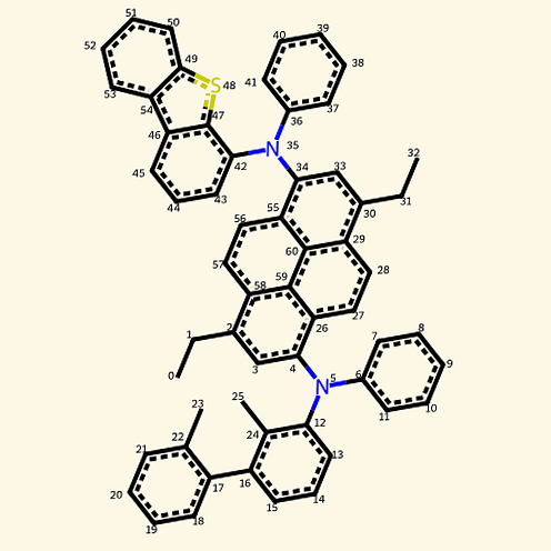 CCc1cc(N(c2ccccc2)c2cccc(-c3ccccc3C)c2C)c2ccc3c(CC)cc(N(c4ccccc4)c4cccc5c4sc4ccccc45)c4ccc1c2c34